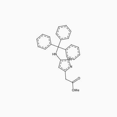 COC(=O)Cc1cc(NC(c2ccccc2)(c2ccccc2)c2ccccc2)[nH]n1